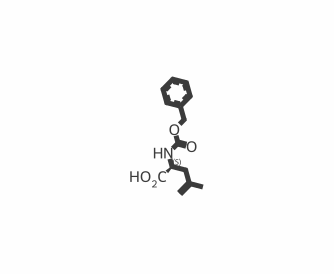 C=C(C)C[C@H](NC(=O)OCc1ccccc1)C(=O)O